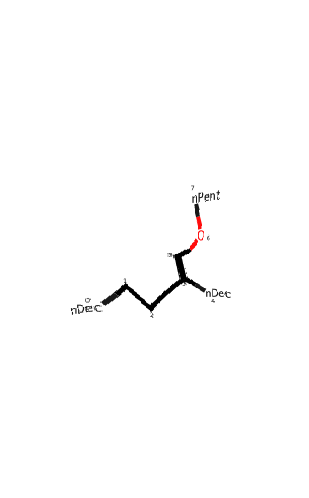 CCCCCCCCCCCCC(CCCCCCCCCC)COCCCCC